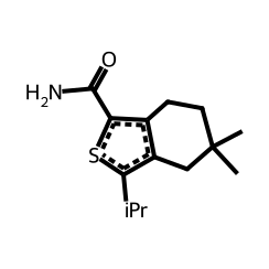 CC(C)c1sc(C(N)=O)c2c1CC(C)(C)CC2